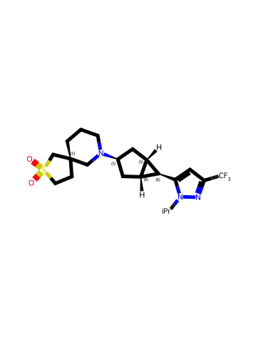 CC(C)n1nc(C(F)(F)F)cc1[C@H]1[C@@H]2C[C@@H](N3CCC[C@]4(CCS(=O)(=O)C4)C3)C[C@@H]21